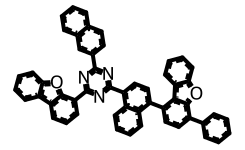 c1ccc(-c2ccc(-c3ccc(-c4nc(-c5ccc6ccccc6c5)nc(-c5cccc6c5oc5ccccc56)n4)c4ccccc34)c3c2oc2ccccc23)cc1